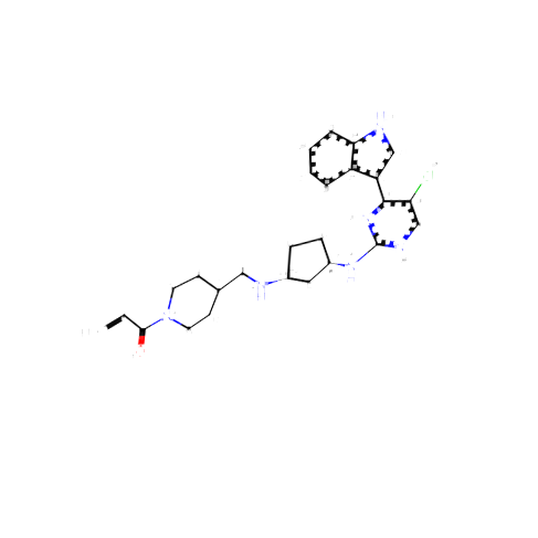 C=CC(=O)N1CCC(CN[C@H]2CC[C@@H](Nc3ncc(Cl)c(-c4c[nH]c5ccccc45)n3)C2)CC1